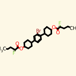 CCC[C@H](F)C(=O)OC1CCC(c2ccc(C3CCC(OC(=O)[C@@H](F)CCC)CC3)c(Br)c2)CC1